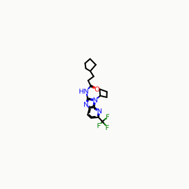 O=C(CCC1CCCC1)Nc1nc2ccc(C(F)(F)F)nc2n1C1CCC1